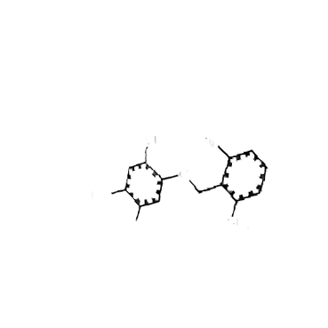 Cc1cc(C)c(OCc2c(N)cccc2Br)cc1Cl